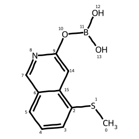 CSc1cccc2cnc(OB(O)O)cc12